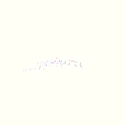 C#Cc1ccc(S(=O)(=O)N2CCN(C(=O)c3cccc(-c4ccc(Oc5ccc(F)cc5)cc4)n3)CC2)cc1